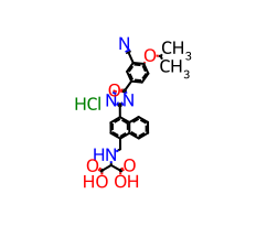 CC(C)Oc1ccc(-c2nc(-c3ccc(CNC(C(=O)O)C(=O)O)c4ccccc34)no2)cc1C#N.Cl